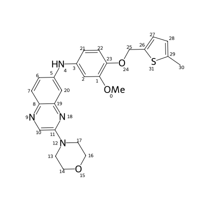 COc1cc(Nc2ccc3ncc(N4CCOCC4)nc3c2)ccc1OCc1ccc(C)s1